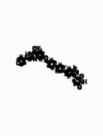 Cn1nc(N2CCC(=O)NC2=O)c2ccc(N3CCC(N4CCC(COc5cc(F)c6c(=O)[nH]c(CSC7CCOCC7)nc6c5)CC4)CC3)cc21